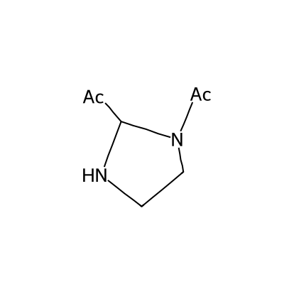 CC(=O)C1NCCN1C(C)=O